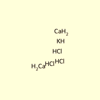 Cl.Cl.Cl.[CaH2].[CaH2].[KH]